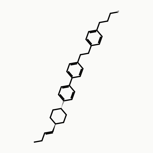 CCC=C[C@H]1CC[C@H](c2ccc(-c3ccc(CCc4ccc(CCCF)cc4)cc3)cc2)CC1